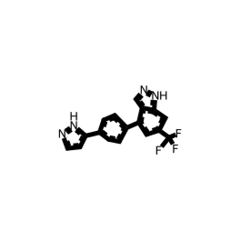 FC(F)(F)c1cc(-c2ccc(-c3ccn[nH]3)cc2)c2cn[nH]c2c1